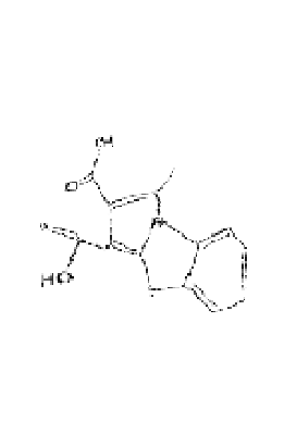 Cc1c(C(=O)O)c(C(=O)O)c2sc3ccccc3n12